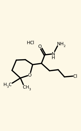 CC1(C)CCCC(C(CCCCl)C(=O)NN)O1.Cl